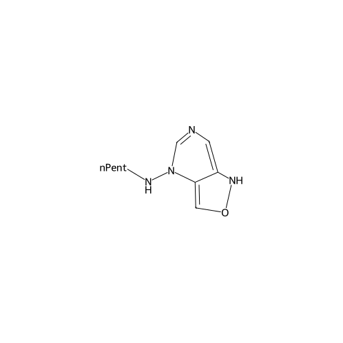 CCCCCNN1C=NC=C2NOC=C21